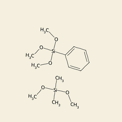 CO[Si](C)(C)OC.CO[Si](OC)(OC)c1ccccc1